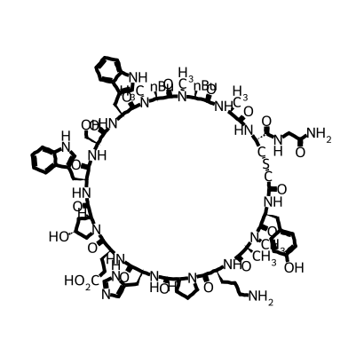 CCCC[C@H]1C(=O)N(C)[C@@H](CCCC)C(=O)N[C@@H](C)C(=O)N[C@H](C(=O)NCC(N)=O)CSCC(=O)N[C@@H](Cc2ccc(O)cc2)C(=O)N(C)[C@@H](C)C(=O)N[C@@H](CCCN)C(=O)N2CCC[C@H]2C(=O)N[C@@H](Cc2cnc[nH]2)C(=O)N[C@@H](CCC(=O)O)C(=O)N2C[C@H](O)C[C@H]2C(=O)N[C@@H](Cc2c[nH]c3ccccc23)C(=O)N[C@@H](CO)C(=O)N[C@@H](Cc2c[nH]c3ccccc23)C(=O)N1C